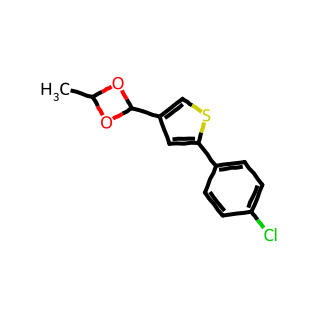 CC1OC(c2csc(-c3ccc(Cl)cc3)c2)O1